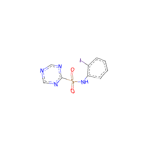 O=S(=O)(Nc1ccccc1I)c1ncncn1